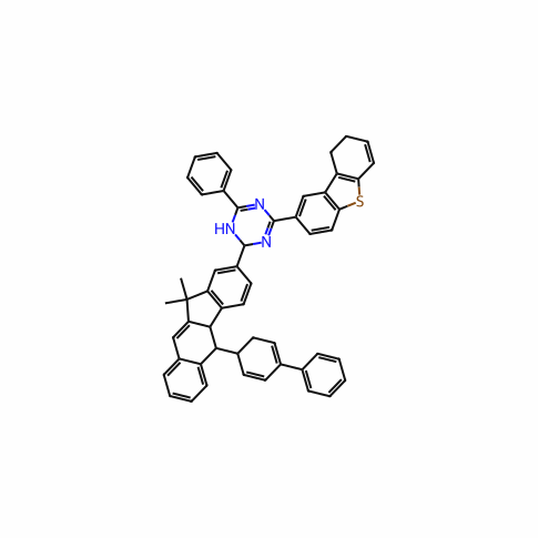 CC1(C)C2=Cc3ccccc3C(C3C=CC(c4ccccc4)=CC3)C2c2ccc(C3N=C(c4ccc5sc6c(c5c4)CCC=C6)N=C(c4ccccc4)N3)cc21